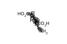 N[n+]1ccc(SCC2=C(C(=O)O)N3C(=O)[C@H](NC(=O)CSc4cc(Cl)c(SCC(=O)O)cc4Cl)[C@H]3SC2)cc1